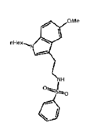 CCCCCCn1cc(CCNS(=O)(=O)c2ccccc2)c2cc(OC)ccc21